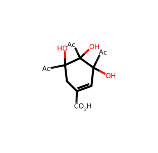 CC(=O)C1(O)C=C(C(=O)O)CC(O)(C(C)=O)C1(O)C(C)=O